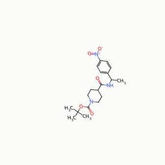 CC(NC(=O)C1CCN(C(=O)OC(C)(C)C)CC1)c1ccc([N+](=O)[O-])cc1